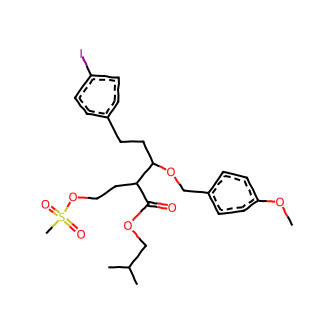 COc1ccc(COC(CCc2ccc(I)cc2)C(CCOS(C)(=O)=O)C(=O)OCC(C)C)cc1